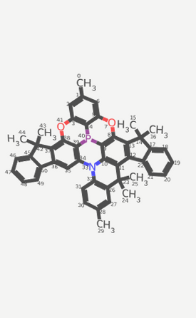 Cc1cc2c3c(c1)Oc1c4c5c(c6c1C(C)(C)c1ccccc1-6)C(C)(C)c1cc(C)ccc1N5c1cc5c(c(c1P34)O2)C(C)(C)c1ccccc1-5